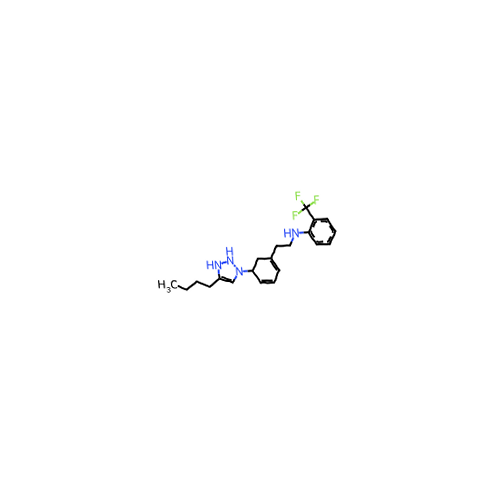 CCCCC1=CN(C2C=CC=C(CCNc3ccccc3C(F)(F)F)C2)NN1